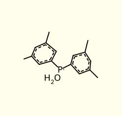 Cc1cc(C)cc([P]c2cc(C)cc(C)c2)c1.O